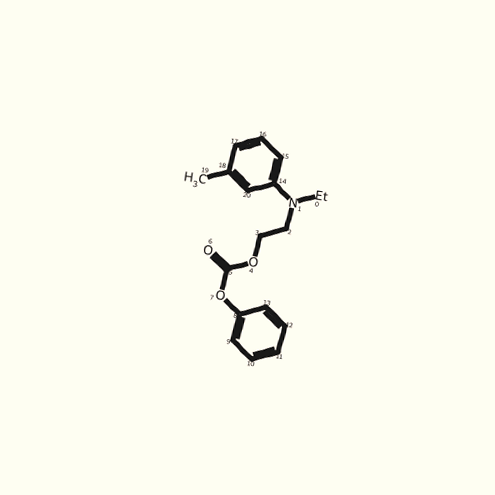 CCN(CCOC(=O)Oc1ccccc1)c1cccc(C)c1